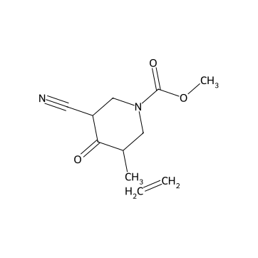 C=C.COC(=O)N1CC(C)C(=O)C(C#N)C1